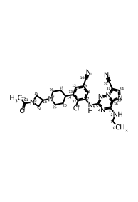 CCNc1nc(Nc2cc(C#N)cc(C3CCN(C4CN(C(C)=O)C4)CC3)c2Cl)nn2c(C#N)cnc12